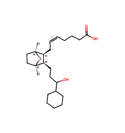 O=C(O)CCC/C=C\C[C@H]1[C@@H](CCC(O)C2CCCCC2)[C@H]2CC[C@@H]1S2